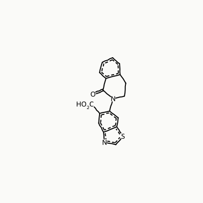 O=C(O)c1cc2ncsc2cc1N1CCc2ccccc2C1=O